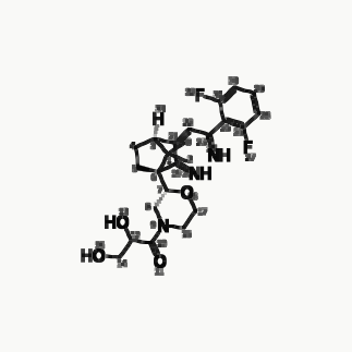 CC1(C)[C@H]2CC[C@]1([C@H]1CN(C(=O)C(O)CO)CCO1)C(=N)/C2=C\C(=N)c1c(F)cccc1F